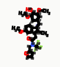 COc1ccc2c(c1)C(CC(=O)N(Cc1ccco1)C(F)(F)F)=C(C)/C2=C/c1cc(OC)c(O)c(OC)c1